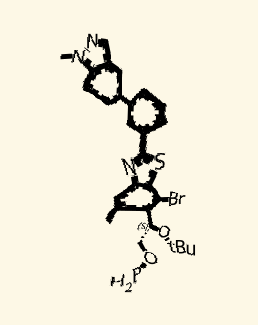 Cc1cc2nc(-c3cccc(-c4ccc5c(cnn5C)c4)c3)sc2c(Br)c1[C@@H](COP)OC(C)(C)C